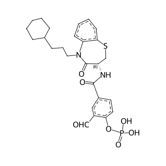 O=Cc1cc(C(=O)N[C@H]2CSc3ccccc3N(CCCC3CCCCC3)C2=O)ccc1OP(=O)(O)O